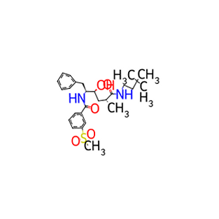 C[C@H](C[C@H](O)[C@H](Cc1ccccc1)NC(=O)c1cccc(S(C)(=O)=O)c1)C(=O)NCCC(C)(C)C